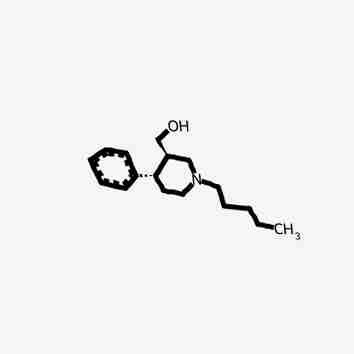 CCCCCN1CC[C@H](c2ccccc2)[C@@H](CO)C1